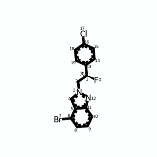 F[C@@H](Cn1cc2c(Br)cccc2n1)c1ccc(Cl)cc1